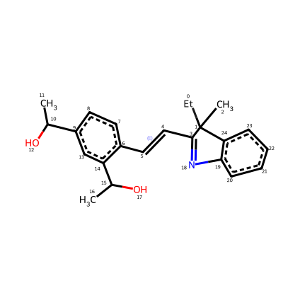 CCC1(C)C(/C=C/c2ccc(C(C)O)cc2C(C)O)=Nc2ccccc21